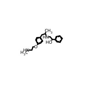 CNCCOc1ccc(CC(C)NCC(O)c2ccccc2)cc1